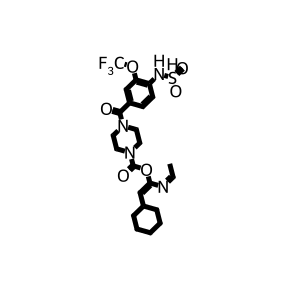 C/C=N\C(=C/C1CCCCC1)OC(=O)N1CCN(C(=O)c2ccc(N[SH](=O)=O)c(OC(F)(F)F)c2)CC1